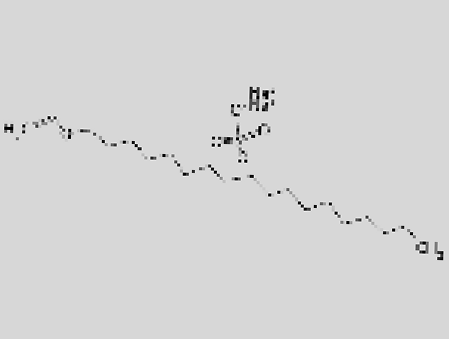 C=COCCCCCCCCCCCCCCCCCC.O=S(=O)([O-])[O-].[Na+].[Na+]